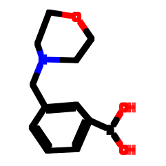 OB(O)c1cccc(CN2CCOCC2)c1